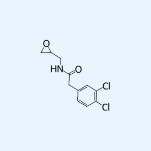 O=C(Cc1ccc(Cl)c(Cl)c1)NCC1CO1